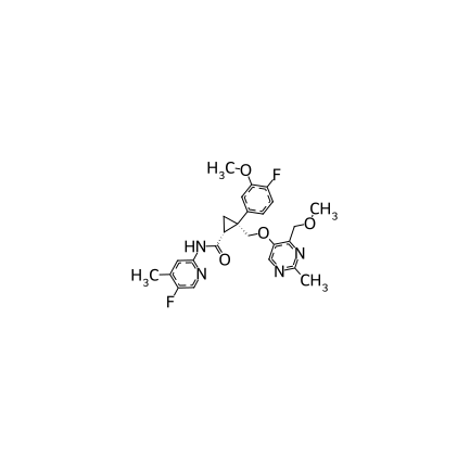 COCc1nc(C)ncc1OC[C@@]1(c2ccc(F)c(OC)c2)C[C@H]1C(=O)Nc1cc(C)c(F)cn1